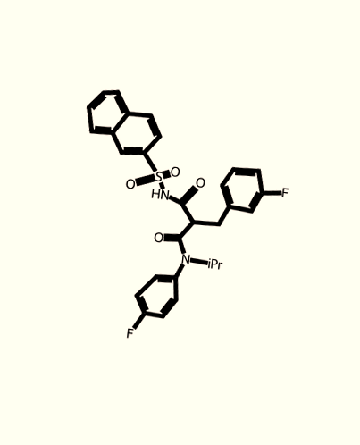 CC(C)N(C(=O)C(Cc1cccc(F)c1)C(=O)NS(=O)(=O)c1ccc2ccccc2c1)c1ccc(F)cc1